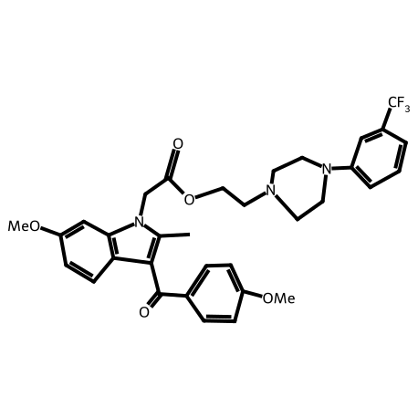 COc1ccc(C(=O)c2c(C)n(CC(=O)OCCN3CCN(c4cccc(C(F)(F)F)c4)CC3)c3cc(OC)ccc23)cc1